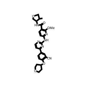 COc1nc(Nc2nccc(-c3ccc(OC4CCOCC4)c(C#N)c3)n2)ccc1C(=O)NC1COCC1C